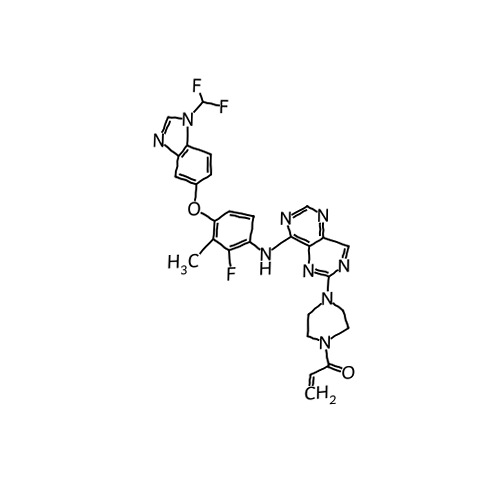 C=CC(=O)N1CCN(c2ncc3ncnc(Nc4ccc(Oc5ccc6c(c5)ncn6C(F)F)c(C)c4F)c3n2)CC1